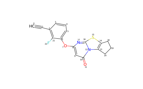 C#Cc1cccc(Oc2cc(=O)n3c4c(sc3n2)CCC4)c1F